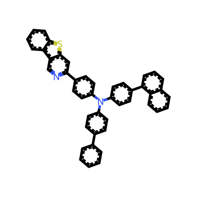 c1ccc(-c2ccc(N(c3ccc(-c4cc5sc6ccccc6c5cn4)cc3)c3ccc(-c4cccc5ccccc45)cc3)cc2)cc1